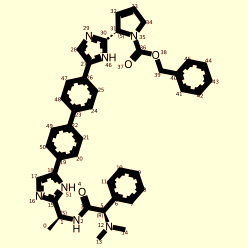 C[C@H](NC(=O)[C@@H](c1ccccc1)N(C)C)c1ncc(-c2ccc(-c3ccc(-c4cnc([C@@H]5C=CCN5C(=O)OCc5ccccc5)[nH]4)cc3)cc2)[nH]1